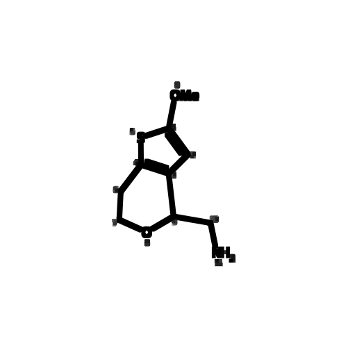 COc1cc2c(s1)CCOC2CN